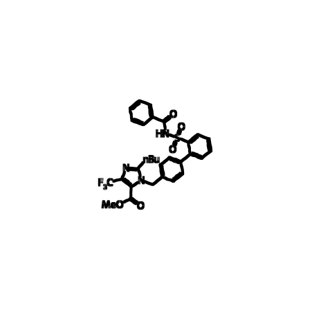 CCCCc1nc(C(F)(F)F)c(C(=O)OC)n1Cc1ccc(-c2ccccc2S(=O)(=O)NC(=O)c2ccccc2)cc1